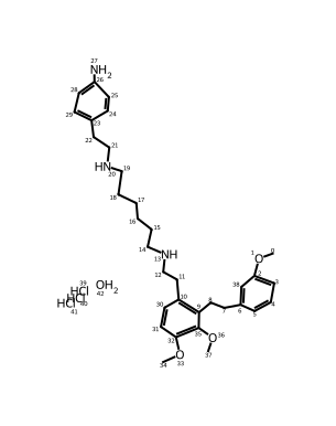 COc1cccc(CCc2c(CCNCCCCCCNCCc3ccc(N)cc3)ccc(OC)c2OC)c1.Cl.Cl.Cl.O